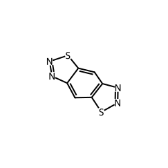 c1c2nnsc2cc2nnsc12